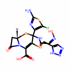 Nc1nc(C2(NC(=O)/C=N\O)S[C@H]3CC(=O)N3C(C(=O)O)=C2SCc2cnn[nH]2)c(Cl)s1